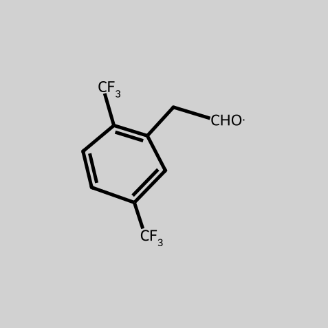 O=[C]Cc1cc(C(F)(F)F)ccc1C(F)(F)F